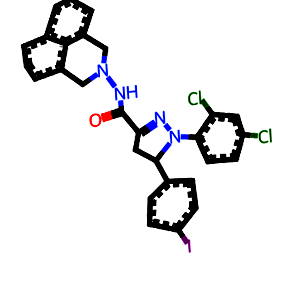 O=C(NN1Cc2cccc3cccc(c23)C1)C1=NN(c2ccc(Cl)cc2Cl)C(c2ccc(I)cc2)C1